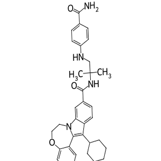 CC(C)(CNc1ccc(C(N)=O)cc1)NC(=O)c1ccc2c(C3CCCCC3)c3n(c2c1)CCOc1ccccc1-3